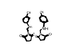 N#Cc1ccc(NCN2C(=O)CCC2=O)cc1.N#Cc1ccc(NCN2C(=O)CCC2=O)cc1